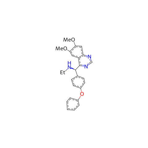 CCN[C@H](c1ccc(Oc2ccccc2)cc1)c1ncnc2cc(OC)c(OC)cc12